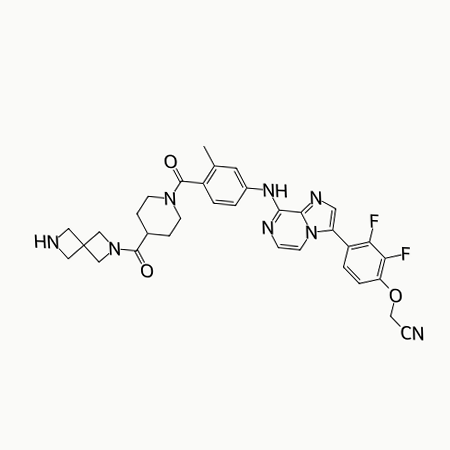 Cc1cc(Nc2nccn3c(-c4ccc(OCC#N)c(F)c4F)cnc23)ccc1C(=O)N1CCC(C(=O)N2CC3(CNC3)C2)CC1